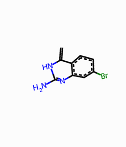 C=C1NC(N)=Nc2cc(Br)ccc21